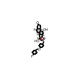 C[C@]12C=CC(=O)C=C1[C@@H](F)C[C@H]1[C@@H]3C[C@H]4CN(Cc5ccc(OCc6ccc(F)cc6)cc5)O[C@@]4(C(=O)CO)[C@@]3(C)C[C@H](O)[C@@]12F